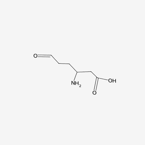 NC(CCC=O)CC(=O)O